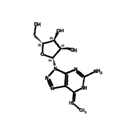 C[SH]=c1[nH]c(N)nc2c1nnn2[C@@H]1O[C@H](CO)[C@@H](O)[C@H]1O